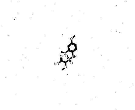 COc1ccc(NS(=O)(=O)C(OC)C(=O)O)c(OC)c1